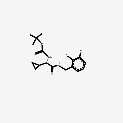 CC(C)(C)OC(=O)N[C@H](C(=O)NCc1cccc(Cl)c1F)C1CC1